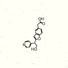 O=C(O)Cc1ccc2oc(C(CO)c3ccncc3)cc2c1